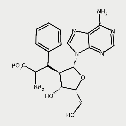 Nc1ncnc2c1ncn2[C@@H]1O[C@H](CO)[C@H](O)[C@H]1C(c1ccccc1)C(N)C(=O)O